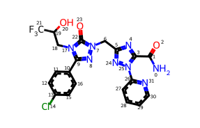 NC(=O)c1nc(Cn2nc(-c3ccc(Cl)cc3)n(CC(O)C(F)(F)F)c2=O)nn1-c1ccccn1